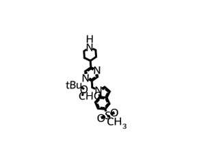 CC(C)(C)OC=O.CS(=O)(=O)c1ccc2c(ccn2Cc2cnc(C3CCNCC3)cn2)c1